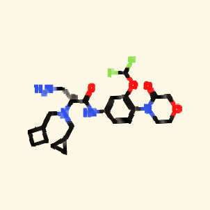 NC[C@H](C(=O)Nc1ccc(N2CCOCC2=O)c(OC(F)F)c1)N(CC1CCC1)CC1CC1